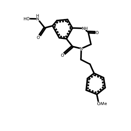 COc1ccc(CCN2CC(=O)Nc3ccc(C(=O)NO)cc3C2=O)cc1